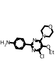 CCOc1c(Cl)nc(-c2ccc(N)cc2)nc1N1CCOCC1